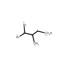 CC(=O)C(C(C)=O)C(C)CC(=O)O